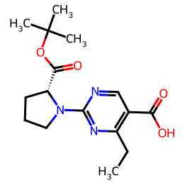 CCc1nc(N2CCC[C@@H]2C(=O)OC(C)(C)C)ncc1C(=O)O